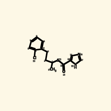 CC(CCc1ccccc1Cl)SC(=O)c1cnc[nH]1